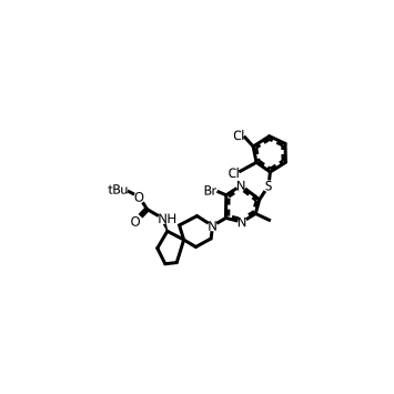 Cc1nc(N2CCC3(CCC[C@H]3NC(=O)OC(C)(C)C)CC2)c(Br)nc1Sc1cccc(Cl)c1Cl